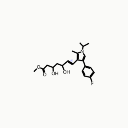 COC(=O)CC(O)CC(O)/C=C/c1c(-c2ccc(F)cc2)cn(C(C)C)c1C